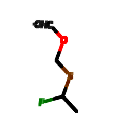 CC(F)SCO[C]=O